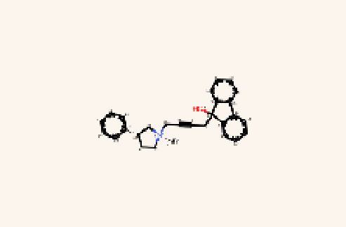 CCC[N@+]1(CC#CCC2(O)c3ccccc3-c3ccccc32)CC[C@H](c2ccccc2)C1